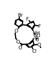 COc1c(Cl)cc2cc1S(=O)(=O)Nc1cc(c(F)cc1F)-c1cc(Br)ccc1OCCOC2=O